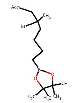 CCC(C)(CCCCB1OC(C)(C)C(C)(C)O1)COC(C)=O